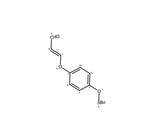 CCCCOc1ccc(O/C=C/C=O)cc1